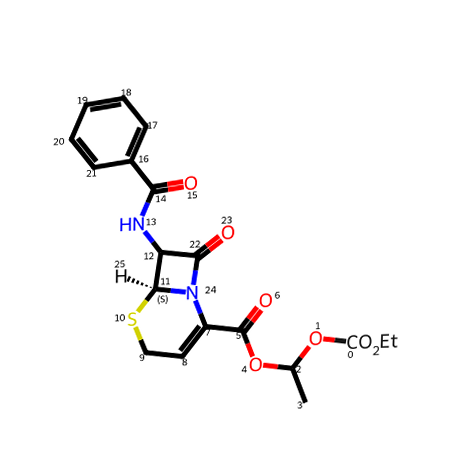 CCOC(=O)OC(C)OC(=O)C1=CCS[C@H]2C(NC(=O)c3ccccc3)C(=O)N12